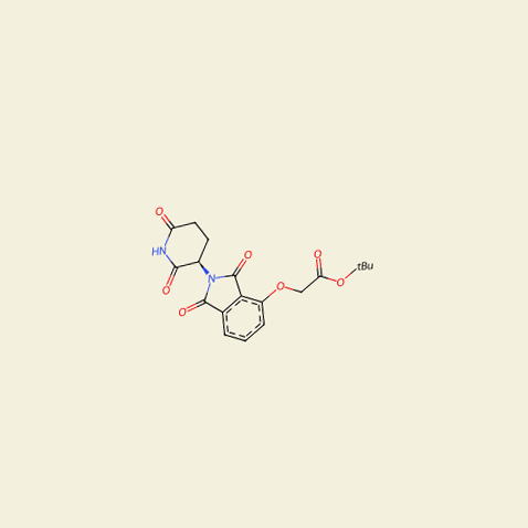 CC(C)(C)OC(=O)COc1cccc2c1C(=O)N([C@@H]1CCC(=O)NC1=O)C2=O